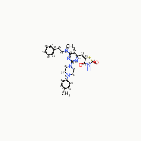 Cc1ccc(N2CCN(c3nc(C=C4SC(=O)NC4=O)cc(N(C)CCc4ccccc4)n3)CC2)cc1